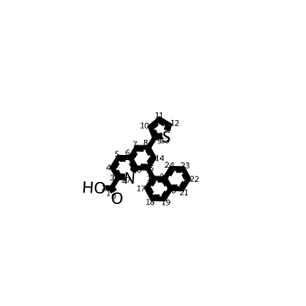 O=C(O)c1ccc2cc(-c3cccs3)cc(-c3cccc4ccccc34)c2n1